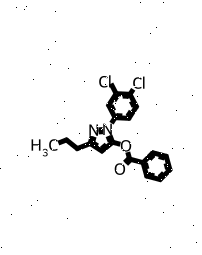 CCCc1cc(OC(=O)c2ccccc2)n(-c2ccc(Cl)c(Cl)c2)n1